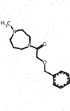 CN1CCCN(C(=O)COCc2ccccc2)CC1